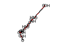 O=CCCCNC(=O)CC[C@H](NC(=O)COCCOCCNC(=O)COCCOCCNC(=O)CCCNC(=O)CCCCCCCCCCCCCCCCC(=O)O)C(=O)O